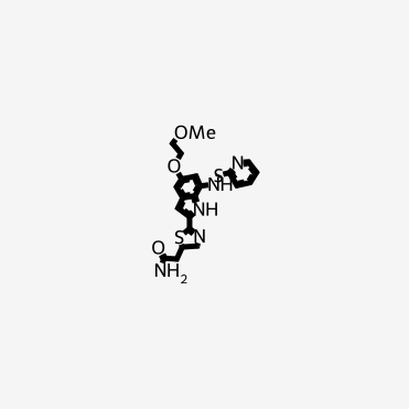 COCCOc1cc(NSc2ccccn2)c2[nH]c(C3=NCC(CC(N)=O)S3)cc2c1